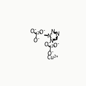 Cn1ncnn1.[Cu+2].[O-][I+2]([O-])[O-].[O-][I+2]([O-])[O-]